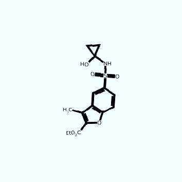 CCOC(=O)c1oc2ccc(S(=O)(=O)NC3(O)CC3)cc2c1C